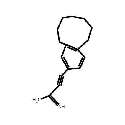 CC(=N)C#Cc1ccc2c(c1)CCCCCCC2